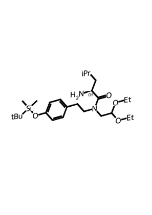 CCOC(CN(CCc1ccc(O[Si](C)(C)C(C)(C)C)cc1)C(=O)[C@@H](N)CC(C)C)OCC